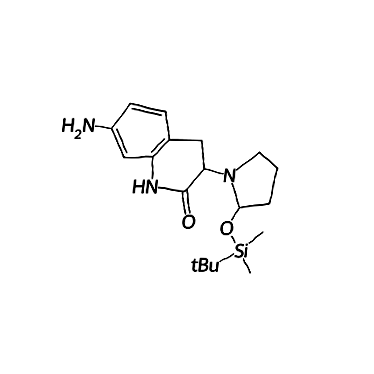 CC(C)(C)[Si](C)(C)OC1CCCN1C1Cc2ccc(N)cc2NC1=O